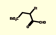 CCOC(=O)CC(CC)C(=O)C=O